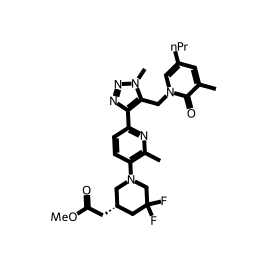 CCCc1cc(C)c(=O)n(Cc2c(-c3ccc(N4C[C@@H](CC(=O)OC)CC(F)(F)C4)c(C)n3)nnn2C)c1